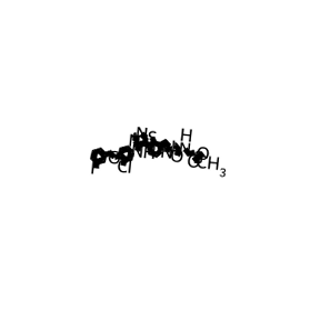 CS(=O)(=O)CCNC(=O)Cn1cc2c(n1)CCc1c-2sc2ncnc(Nc3ccc(OCc4cccc(F)c4)c(Cl)c3)c12